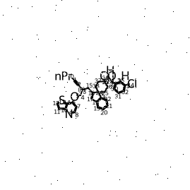 CCCC#C[C@H](COc1ccnc2ccsc12)CC1=Cc2ccccc2C12CCC(Nc1cccc(Cl)c1)(C(=O)O)CC2